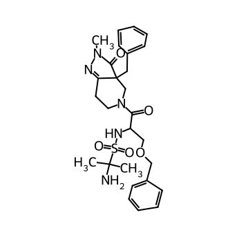 CN1N=C2CCN(C(=O)C(COCc3ccccc3)NS(=O)(=O)C(C)(C)N)CC2(Cc2ccccc2)C1=O